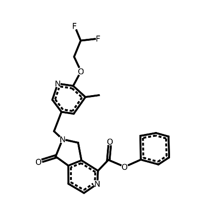 Cc1cc(CN2Cc3c(ccnc3C(=O)Oc3ccccc3)C2=O)cnc1OCC(F)F